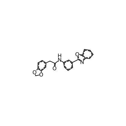 O=C(Cc1ccc2c(c1)OCO2)Nc1cccc(-c2nc3ccccc3o2)c1